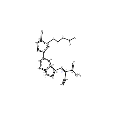 CC(C)OCCn1cc(-c2cnc3[nH]cc(/C=C(\C#N)C(N)=O)c3c2)ccc1=O